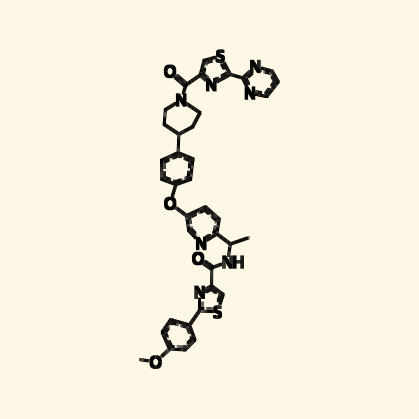 COc1ccc(-c2nc(C(=O)NC(C)c3ccc(Oc4ccc(C5CCN(C(=O)c6csc(-c7ncccn7)n6)CC5)cc4)cn3)cs2)cc1